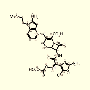 CNCCn1c(N)cc2c1ccc[n+]2CC1=C(C(=O)O)N2C(=O)C(NC(=O)/C(=N\O[C@@H](C)C(=O)O)c3nc(N)sc3Cl)C2SC1